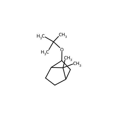 CC(C)(C)OC1CC2CCC1C2(C)C